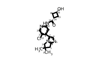 CC1(C)Cc2ncc(-c3cc(NC(=O)[C@H]4C[C@@H](O)C4)ncc3Cl)n2C1